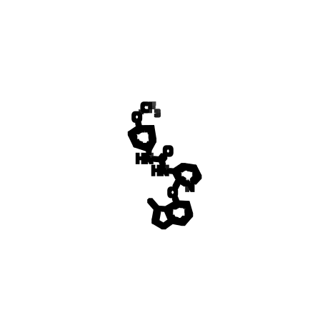 CC1=CCc2cccc(Oc3ncccc3NC(=O)Nc3ccc(OC(F)(F)F)cc3)c21